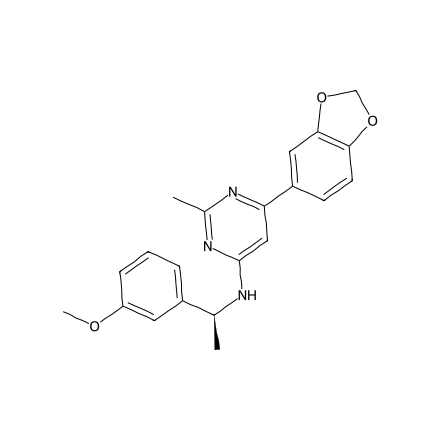 COc1cccc([C@H](C)Nc2cc(-c3ccc4c(c3)OCO4)nc(C)n2)c1